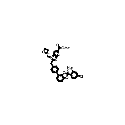 COC(=O)c1cc2c(nc(Cc3ccc(-c4cccc5c4OC(C)(c4ccc(Cl)cc4F)O5)cc3)n2C[C@@H]2CCO2)s1